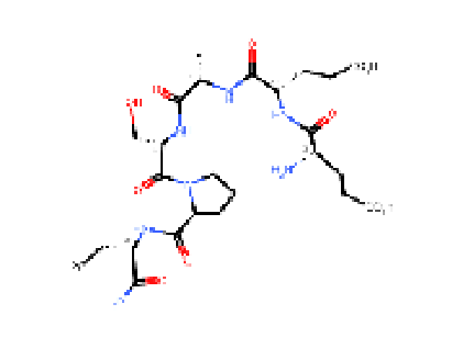 CC(C)C[C@H](NC(=O)[C@@H]1CCCN1C(=O)[C@H](CO)NC(=O)[C@H](C)NC(=O)[C@H](CCC(=O)O)NC(=O)[C@@H](N)CCC(=O)O)C(N)=O